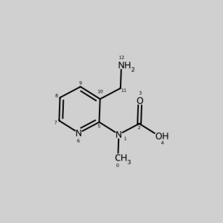 CN(C(=O)O)c1ncccc1CN